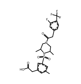 Cc1cc(CC(=O)O)cc(S(=O)(=O)N2C(C)CN(C(=O)Cc3ccc(C(F)(F)F)c(F)c3)CC2C)c1